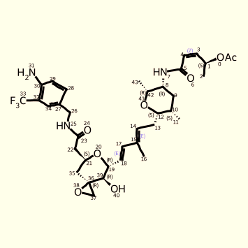 CC(=O)O[C@@H](C)/C=C\C(=O)N[C@@H]1C[C@H](C)[C@H](C/C=C(C)/C=C/[C@H]2O[C@H](CC(=O)NCc3ccc(N)c(C(F)(F)F)c3)C[C@@]3(CO3)[C@@H]2O)O[C@@H]1C